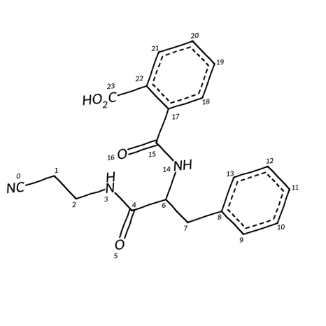 N#CCCNC(=O)C(Cc1ccccc1)NC(=O)c1ccccc1C(=O)O